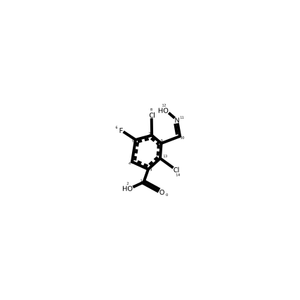 O=C(O)c1cc(F)c(Cl)c(/C=N\O)c1Cl